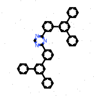 c1ccc(-c2cc(-c3ccccc3)cc(-c3cccc(-c4ncnc(-c5cccc(-c6cc(-c7ccccc7)cc(-c7ccccc7)c6)c5)n4)c3)c2)cc1